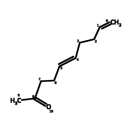 C=CCC/C=C/CCC(C)=O